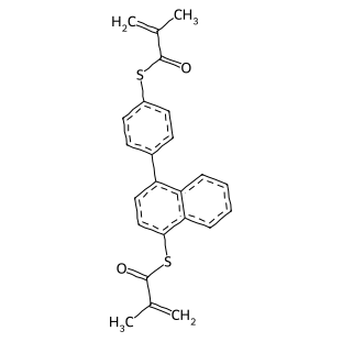 C=C(C)C(=O)Sc1ccc(-c2ccc(SC(=O)C(=C)C)c3ccccc23)cc1